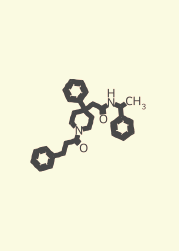 CC(NC(=O)CC1(c2ccccc2)CCN(C(=O)CCc2ccccc2)CC1)c1ccccc1